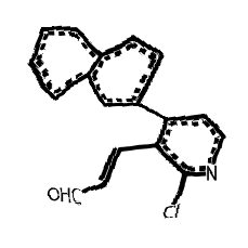 O=CC=Cc1c(-c2ccc3ccccc3c2)ccnc1Cl